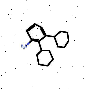 Nc1cccc(C2CCCCC2)c1C1CCCCC1